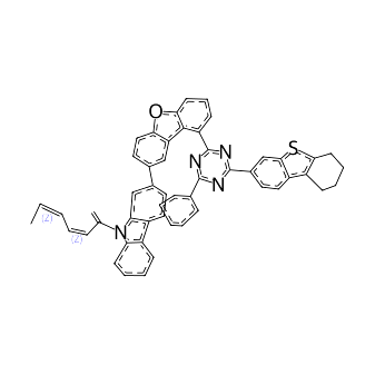 C=C(/C=C\C=C/C)n1c2ccccc2c2ccc(-c3ccc4oc5cccc(-c6nc(-c7ccccc7)nc(-c7ccc8c9c(sc8c7)CCCC9)n6)c5c4c3)cc21